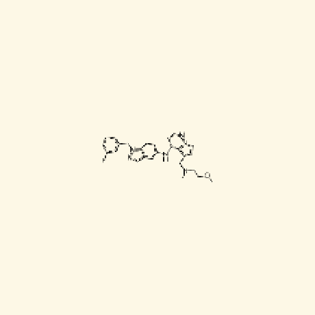 COCCN(C)Cc1ccn2ncnc(Nc3ccc4c(cnn4Cc4cccc(F)c4)c3)c12